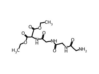 CCOC(=O)C(NC(=O)CNC(=O)CNC(=O)CN)C(=O)OCC